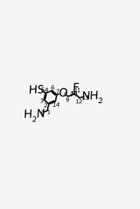 NCc1cc(S)cc(OC[C@H](F)CN)c1